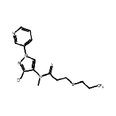 CN(C(=S)CCSCCC(F)(F)F)c1cn(-c2cccnc2)nc1Cl